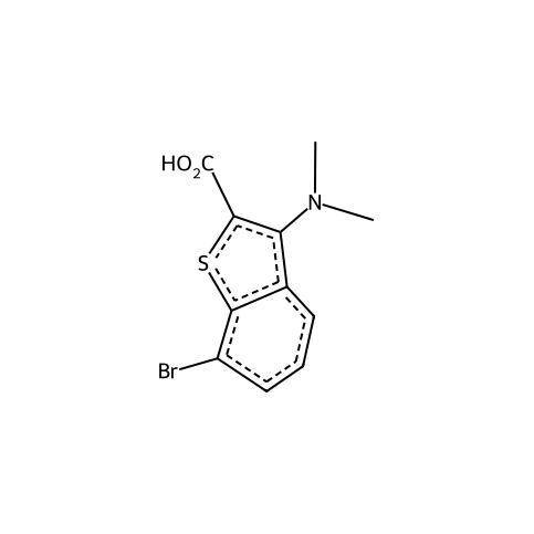 CN(C)c1c(C(=O)O)sc2c(Br)cccc12